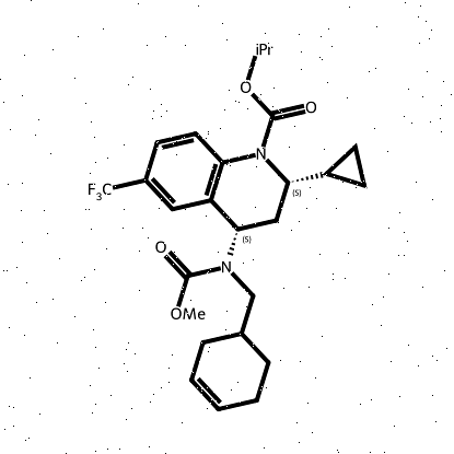 COC(=O)N(CC1CC=CCC1)[C@H]1C[C@@H](C2CC2)N(C(=O)OC(C)C)c2ccc(C(F)(F)F)cc21